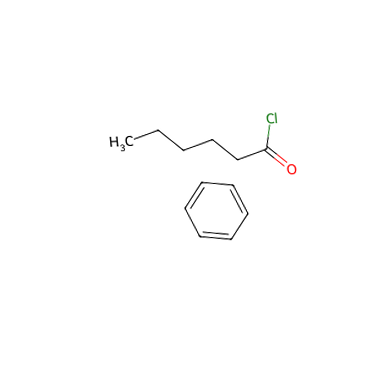 CCCCCC(=O)Cl.c1ccccc1